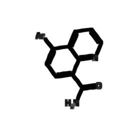 CC(=O)c1ccc(C(N)=O)c2ncccc12